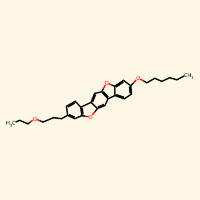 CCCCCCOc1ccc2c(c1)oc1cc3c(cc12)oc1cc(CCCOCCC)ccc13